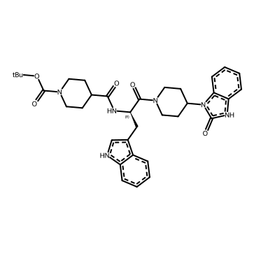 CC(C)(C)OC(=O)N1CCC(C(=O)N[C@H](Cc2c[nH]c3ccccc23)C(=O)N2CCC(n3c(=O)[nH]c4ccccc43)CC2)CC1